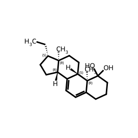 CC[C@H]1CC[C@H]2C3=CC=C4CCCC(O)(O)[C@]4(C)[C@H]3CC[C@]12C